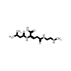 CNCCNC(=O)C/C=C(/NC(=O)CC(C)C)C(=O)O